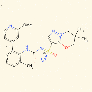 COc1cc(-c2cccc(C)c2NC(=O)N=[S@@](N)(=O)c2cnn3c2OCC(C)(C)C3)ccn1